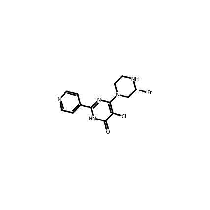 CC(C)[C@H]1CN(c2nc(-c3ccncc3)[nH]c(=O)c2Cl)CCN1